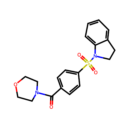 O=C(c1ccc(S(=O)(=O)N2CCc3ccccc32)cc1)N1CCOCC1